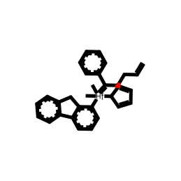 C=CCC[C](c1ccccc1)=[Hf]([CH3])([CH3])([c]1cccc2c1Cc1ccccc1-2)[CH]1C=CC=C1